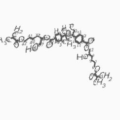 C=C(C)C(=O)OCCCCC(O)COC(=O)c1ccc(C(C)(CC)OC(C)(CC)c2ccc(C(=O)OC(CO)CCCCOC(=O)C(=C)C)cc2)cc1